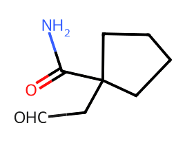 NC(=O)C1(CC=O)CCCC1